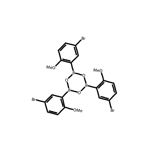 COc1ccc(Br)cc1B1OB(c2cc(Br)ccc2OC)OB(c2cc(Br)ccc2OC)O1